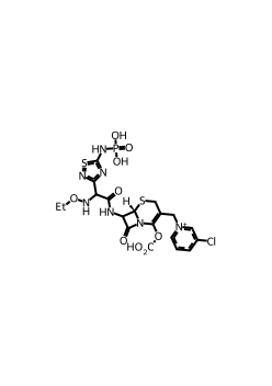 CCONC(C(=O)NC1C(=O)N2C(OC(=O)O)=C(C[n+]3cccc(Cl)c3)CS[C@@H]12)c1nsc(NP(=O)(O)O)n1